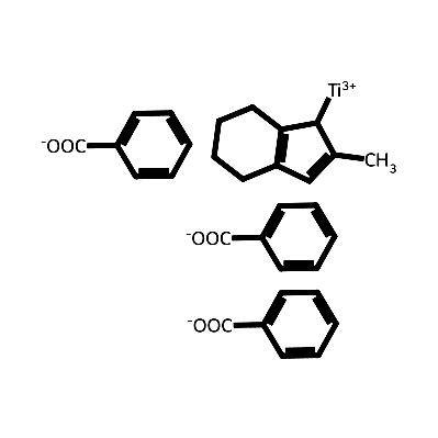 CC1=CC2=C(CCCC2)[CH]1[Ti+3].O=C([O-])c1ccccc1.O=C([O-])c1ccccc1.O=C([O-])c1ccccc1